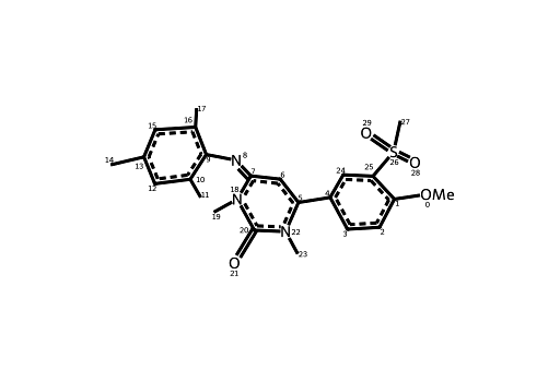 COc1ccc(-c2c/c(=N/c3c(C)cc(C)cc3C)n(C)c(=O)n2C)cc1S(C)(=O)=O